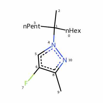 CCCCCCC(C)(CCCCC)n1cc(F)c(C)n1